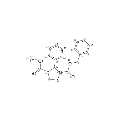 COC(=O)C1CCN(C(=O)OCc2ccccc2)C1c1ccccn1